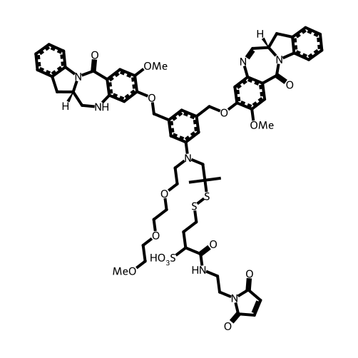 COCCOCCOCCN(CC(C)(C)SSCCC(C(=O)NCCN1C(=O)C=CC1=O)S(=O)(=O)O)c1cc(COc2cc3c(cc2OC)C(=O)N2c4ccccc4C[C@H]2C=N3)cc(COc2cc3c(cc2OC)C(=O)N2c4ccccc4C[C@H]2CN3)c1